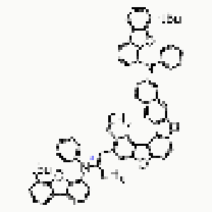 C=Cc1cc2c(cc1/C=C(\C)N(c1ccccc1)c1cccc3c1oc1c(C(C)(C)C)cccc13)oc1ccc3oc4cc5cc(N(c6ccccc6)c6cccc7c6oc6c(C(C)(C)C)cccc67)ccc5cc4c3c12